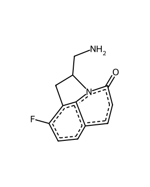 NCC1Cc2c(F)ccc3ccc(=O)n1c23